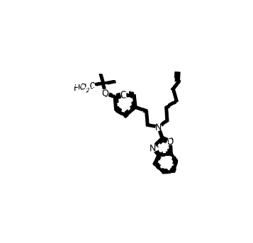 C=CCCCCN(CCc1ccc(OC(C)(C)C(=O)O)cc1)c1nc2ccccc2o1